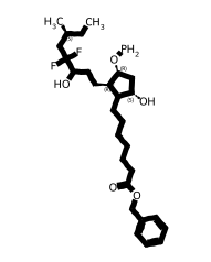 CC[C@H](C)CC(F)(F)C(O)CC[C@@H]1C(CCCCCCC(=O)OCc2ccccc2)[C@@H](O)C[C@H]1OP